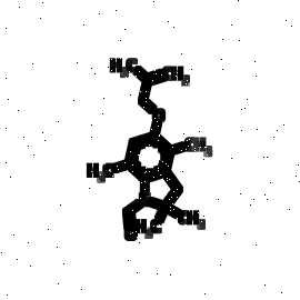 C=C(C)COc1cc(C)c2c(c1C)CC(C)(C)N2C=O